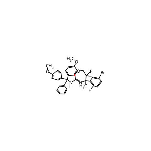 COc1ccc(C(NC2=NC(C)(c3cc(Br)ccc3F)C(F)(F)COC2)(c2ccccc2)c2ccc(OC)cc2)cc1